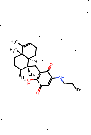 CC1=CCC[C@H]2[C@](C)(CC3=C(O)C(=O)C=C(NCCC(C)C)C3=O)[C@@H](C)CC[C@]12C